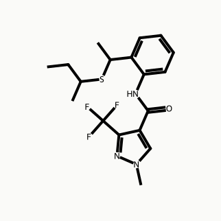 CCC(C)SC(C)c1ccccc1NC(=O)c1cn(C)nc1C(F)(F)F